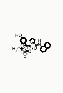 CC(C)(C)N(C(=O)O)[C@H](C(=O)N1CCC[C@H]1C(=O)N[C@@H]1CCCc2ccccc21)c1ccc(O)cc1